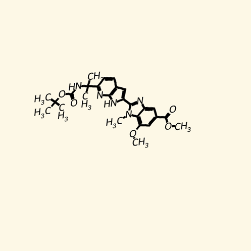 COC(=O)c1cc(OC)c2c(c1)nc(-c1cc3ccc(C(C)(C)NC(=O)OC(C)(C)C)nc3[nH]1)n2C